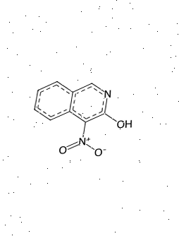 O=[N+]([O-])c1c(O)ncc2ccccc12